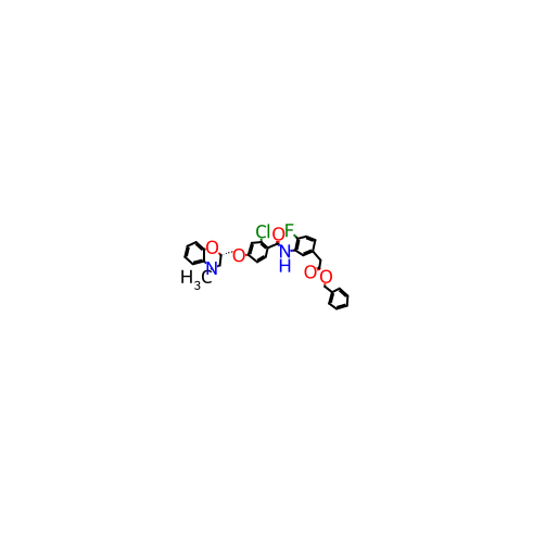 CN1C[C@@H](COc2ccc(C(=O)Nc3cc(CC(=O)OCc4ccccc4)ccc3F)c(Cl)c2)Oc2ccccc21